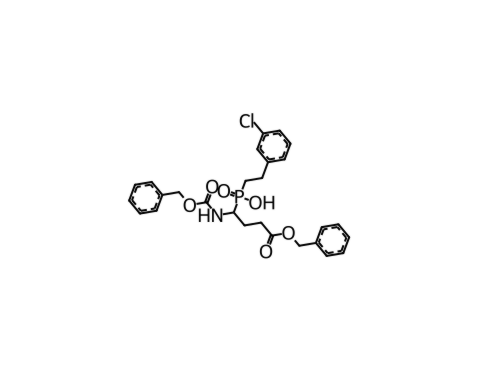 O=C(CCC(NC(=O)OCc1ccccc1)P(=O)(O)CCc1cccc(Cl)c1)OCc1ccccc1